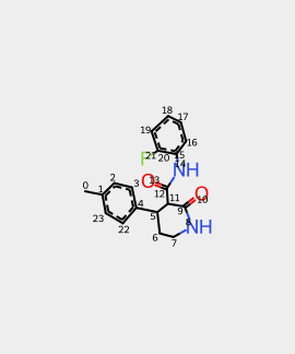 Cc1ccc(C2CCNC(=O)C2C(=O)Nc2ccccc2F)cc1